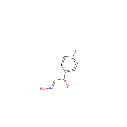 O=C(/C=N/O)c1ccc(I)cc1